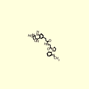 CSc1ccccc1[C@H]1CCCN1C(=O)CNC(=O)CCc1ccc2c(c1)[C@H]1C[C@@H](N2)[C@H](O)CO1